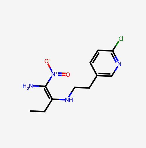 CCC(NCCc1ccc(Cl)nc1)=C(N)[N+](=O)[O-]